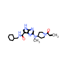 C=CC(=O)N1CCC(N(C)c2cnc3[nH]cc(C(=O)NCC4CCCCC4)c3n2)CC1